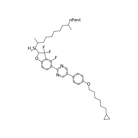 CCCCCC(C)CCCCCCC(C)[SiH2]C1Oc2ccc(-c3ncc(-c4ccc(OCCCCCCC5CC5)cc4)cn3)c(F)c2C1(F)F